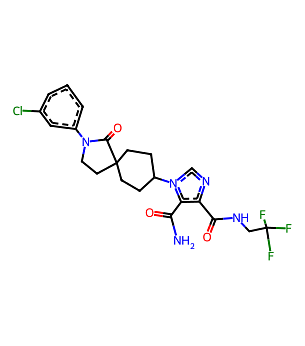 NC(=O)c1c(C(=O)NCC(F)(F)F)ncn1C1CCC2(CC1)CCN(c1cccc(Cl)c1)C2=O